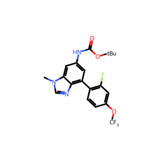 Cn1cnc2c(-c3ccc(OC(F)(F)F)cc3F)cc(NC(=O)OC(C)(C)C)cc21